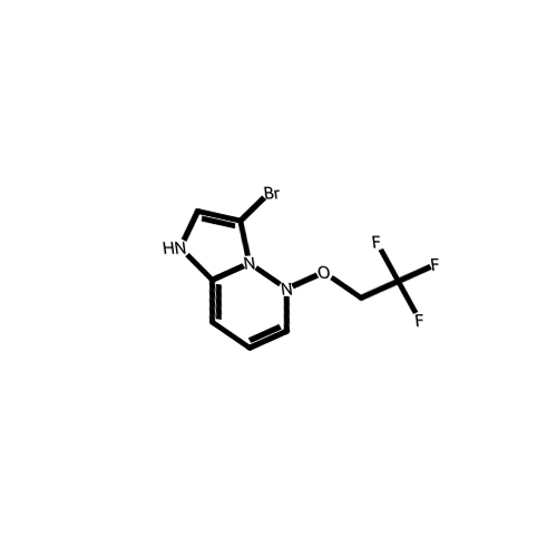 FC(F)(F)CON1C=CC=C2NC=C(Br)N21